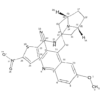 COc1ccc2ncc(C#N)c(CCN3[C@@H]4CC[C@H]3CC(NCc3ccc([N+](=O)[O-])s3)C4)c2c1